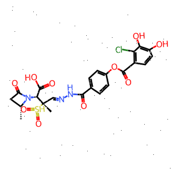 C[C@@H]1CC(=O)N1[C@@H](C(=O)O)[C@](C)(/C=N/NC(=O)c1ccc(OC(=O)c2ccc(O)c(O)c2Cl)cc1)[SH](=O)=O